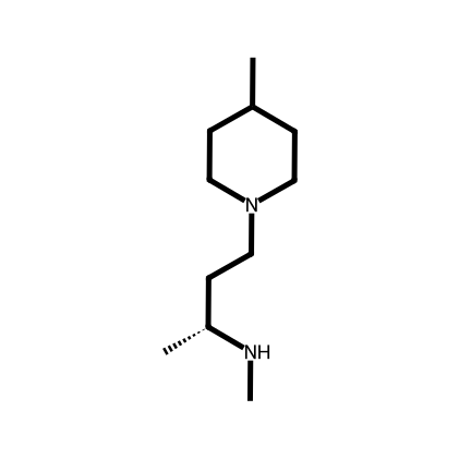 CN[C@H](C)CCN1CCC(C)CC1